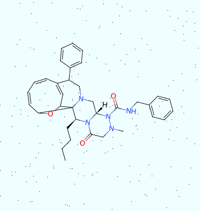 CCCC[C@@H]1N2C(=O)CN(C)N(C(=O)NCc3ccccc3)[C@H]2CN2CC(c3ccccc3)C3=CC4OC(/C=C\C=C/3)C412